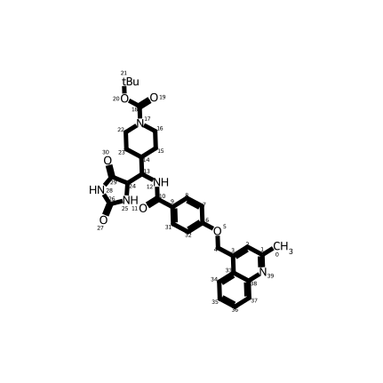 Cc1cc(COc2ccc(C(=O)NC(C3CCN(C(=O)OC(C)(C)C)CC3)C3NC(=O)NC3=O)cc2)c2ccccc2n1